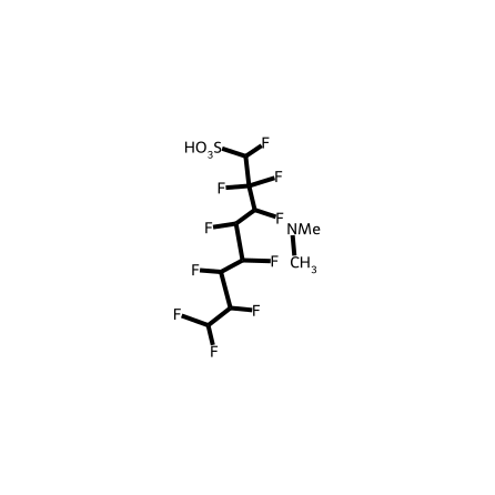 CNC.O=S(=O)(O)C(F)C(F)(F)C(F)C(F)C(F)C(F)C(F)C(F)F